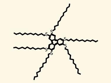 CCCCCCCCCCCCSc1cc2c3cc(SCCCCCCCCCCCC)c(SCCCCCCCCCCCC)cc3c3cc(SCCCCCCCCCCCC)c(SCCCCCCCCCCCC)cc3c2cc1SCCCCCCCCCCCC